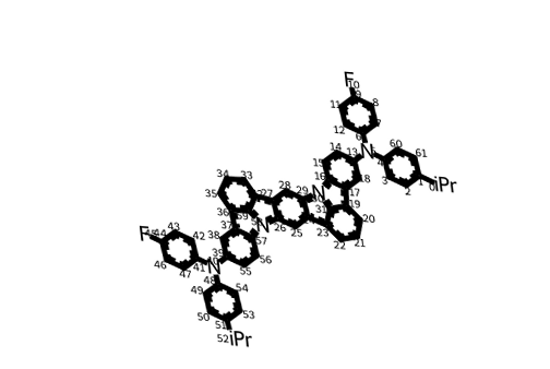 CC(C)c1ccc(N(c2ccc(F)cc2)c2ccc3c(c2)c2cccc4c5cc6c(cc5n3c24)c2cccc3c4cc(N(c5ccc(F)cc5)c5ccc(C(C)C)cc5)ccc4n6c32)cc1